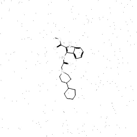 COC(=O)c1[nH]c2ccccc2c1NC(=O)CN1CCC(C2CCCCC2)CC1